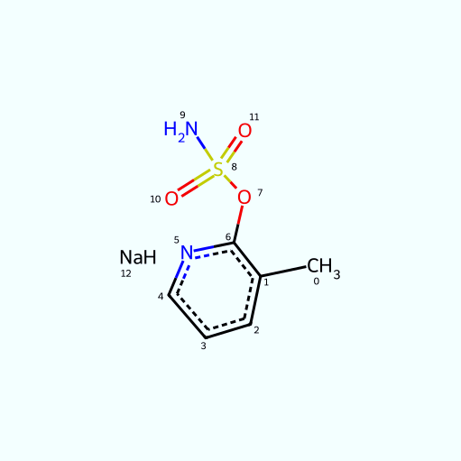 Cc1cccnc1OS(N)(=O)=O.[NaH]